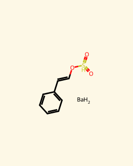 O=[SH](=O)OC=Cc1ccccc1.[BaH2]